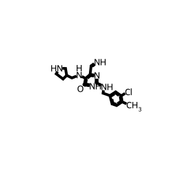 Cc1ccc(CNc2nc(C=N)c(NCC3CCNC3)c(=O)[nH]2)cc1Cl